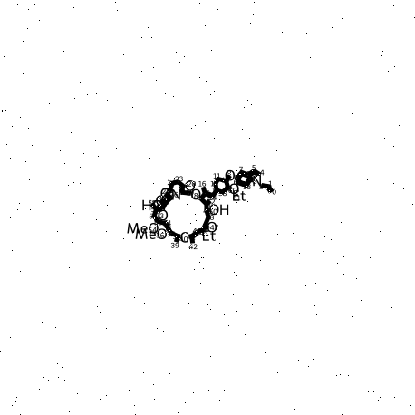 C=CCn1ccc2cc(OC3CCC(C=C(C)C4OC(=O)C5CCCCN5C(=O)C(=O)C5(O)OC(C(OC)CC(C)C/C(C)=C/C(CC)C(=O)CC(O)C4C)C(OC)CC5C)CC3OCC)ccc21